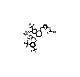 Cc1cc2c(cc1C(F)(F)F)N(Cc1ccc(OC(=O)O)s1)CCC[C@@H]2N(Cc1cc(C(F)(F)F)cc(C(F)(F)F)c1)c1nnn(C)n1